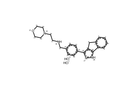 Cl.Cl.c1ccc2c(c1)Cc1c(-c3ccc(CNCCN4CCOCC4)cc3)n[nH]c1-2